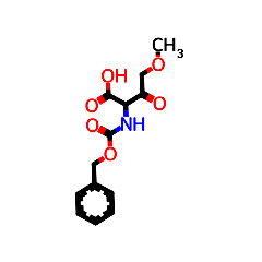 COCC(=O)C(NC(=O)OCc1ccccc1)C(=O)O